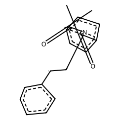 O=c1c2ccc(cc2)c(=O)n1C[CH]c1ccccc1